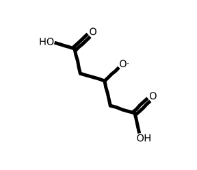 [O]C(CC(=O)O)CC(=O)O